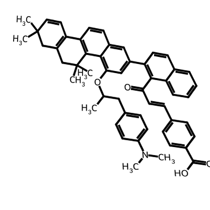 CC(Cc1ccc(N(C)C)cc1)Oc1cc(-c2ccc3ccccc3c2C(=O)C=Cc2ccc(C(=O)O)cc2)cc2ccc3c(c12)C(C)(C)CC1=C3C=CC(C)(C)C1